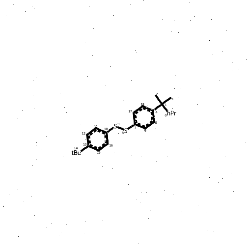 CCCC(C)(C)c1ccc(SSc2ccc(C(C)(C)C)cc2)cc1